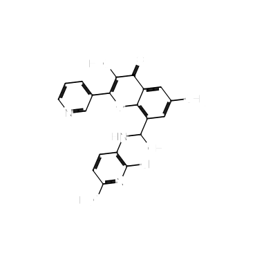 Cc1cc(C(C)Nc2ccc(C)nc2Cl)c2oc(-c3cccnc3)c(C)c(=O)c2c1